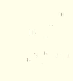 Cc1ccc(C(=O)Nc2ccc3c(-c4ccccc4)nn(-c4nc(C(=O)O)cs4)c3c2)o1